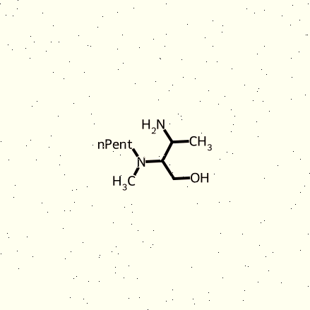 CCCCCN(C)C(CO)C(C)N